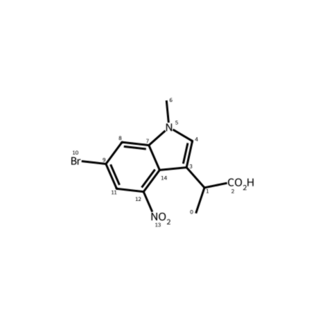 CC(C(=O)O)c1cn(C)c2cc(Br)cc([N+](=O)[O-])c12